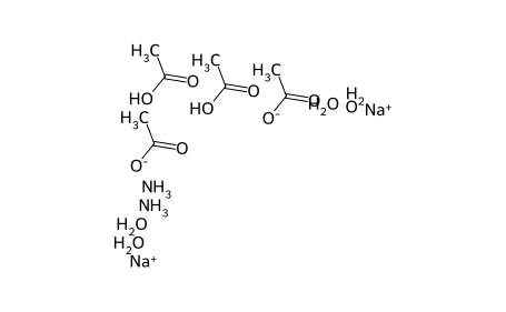 CC(=O)O.CC(=O)O.CC(=O)[O-].CC(=O)[O-].N.N.O.O.O.O.[Na+].[Na+]